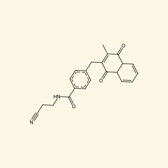 CC1=C(Cc2ccc(C(=O)NCCC#N)cc2)C(=O)C2C=CC=CC2C1=O